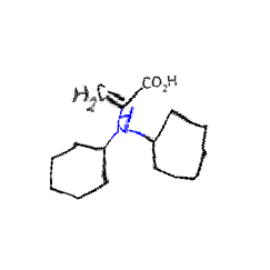 C1CCC(NC2CCCCC2)CC1.C=CC(=O)O